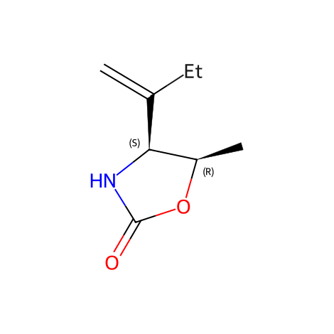 C=C(CC)[C@@H]1NC(=O)O[C@@H]1C